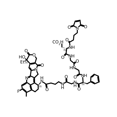 CC[C@@]1(O)C(=O)OCc2c1cc1n(c2=O)Cc2c-1nc1cc(F)c(C)c3c1c2[C@@H](NC(=O)CCCNC(=O)CNC(=O)[C@H](Cc1ccccc1)NC(=O)CNC(=O)CNC(=O)[C@H](CC(=O)O)NC(=O)CCCN1C(=O)C=CC1=O)CC3